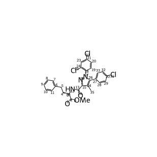 COC(=O)[C@@H](CCc1ccccc1)NC(=O)c1nn(-c2ccc(Cl)cc2Cl)c(-c2ccc(Cl)cc2)c1C